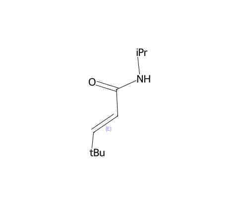 CC(C)NC(=O)/C=C/C(C)(C)C